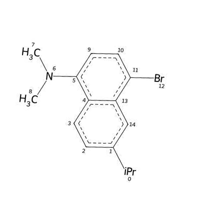 CC(C)c1ccc2c(N(C)C)ccc(Br)c2c1